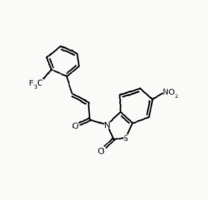 O=C(/C=C/c1ccccc1C(F)(F)F)n1c(=O)sc2cc([N+](=O)[O-])ccc21